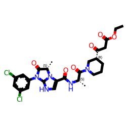 CCOC(=O)CC(=O)[C@@H]1CCCN(C(=O)[C@H](C)NC(=O)C2=CNC3N(c4cc(Cl)cc(Cl)c4)C(=O)[C@H](C)N23)C1